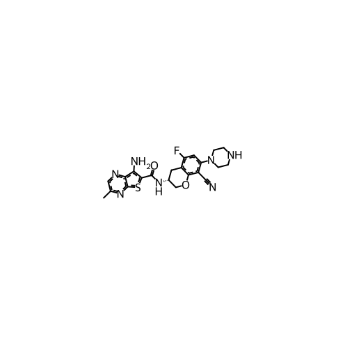 Cc1cnc2c(N)c(C(=O)N[C@H]3COc4c(C#N)c(N5CCNCC5)cc(F)c4C3)sc2n1